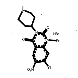 Br.CCn1c(=O)n(C2CCNCC2)c(=O)c2cc([N+](=O)[O-])c(Cl)cc21